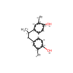 CC(C)c1cc(CC(C)c2ccc(O)c(C(C)C)c2)ccc1O